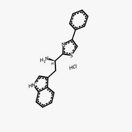 Cl.N[C@H](Cc1c[nH]c2ccccc12)c1nc(-c2ccccc2)cs1